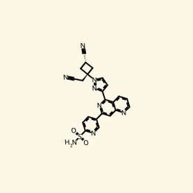 N#CC[C@]1(n2ccc(-c3nc(-c4ccc(S(N)(=O)=O)nc4)cc4ncccc34)n2)C[C@@H](C#N)C1